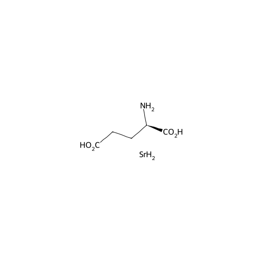 N[C@H](CCC(=O)O)C(=O)O.[SrH2]